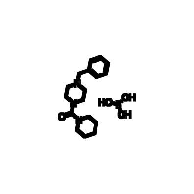 O=C(N1CCCCC1)N1CCN(Cc2ccccc2)CC1.OB(O)O